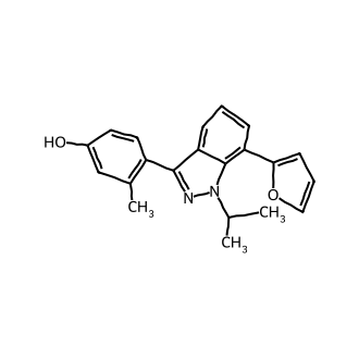 Cc1cc(O)ccc1-c1nn(C(C)C)c2c(-c3ccco3)cccc12